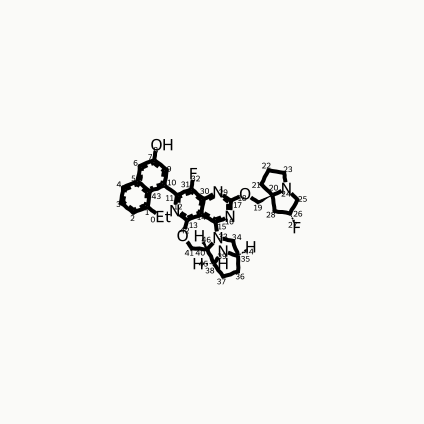 CCc1cccc2cc(O)cc(-c3nc4c5c(nc(OC[C@@]67CCCN6C[C@H](F)C7)nc5c3F)N3C[C@H]5CC[C@H](N5)[C@@H]3CO4)c12